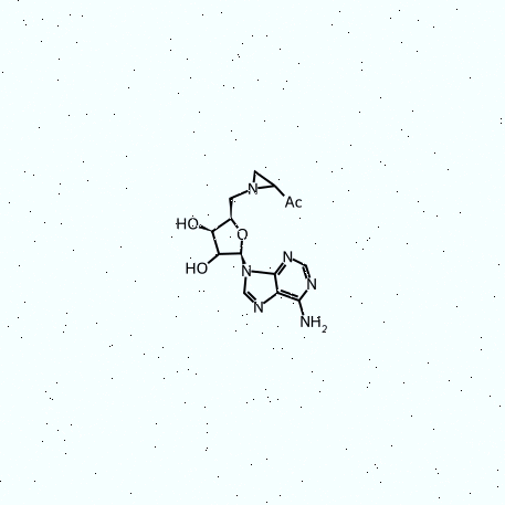 CC(=O)C1CN1C[C@H]1O[C@@H](n2cnc3c(N)ncnc32)C(O)[C@H]1O